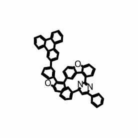 c1ccc(-c2cc(-c3ccccc3)nc(-c3cccc4oc5ccc(-c6cccc7oc8ccc(-c9ccc%10c%11ccccc%11c%11ccccc%11c%10c9)cc8c67)cc5c34)n2)cc1